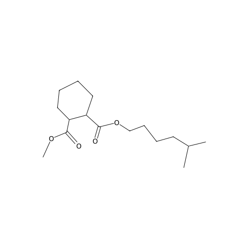 COC(=O)C1CCCCC1C(=O)OCCCCC(C)C